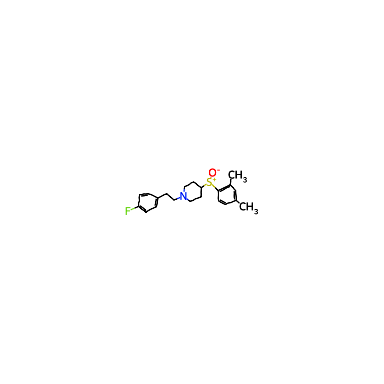 Cc1ccc([S+]([O-])C2CCN(CCc3ccc(F)cc3)CC2)c(C)c1